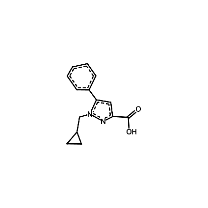 O=C(O)c1cc(-c2ccccc2)n(CC2CC2)n1